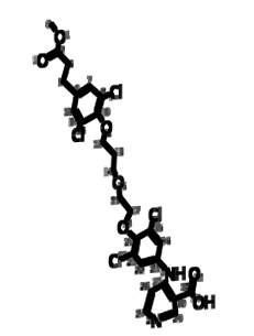 COC(=O)CCc1cc(Cl)c(OCCCOCCOc2c(Cl)cc(Nc3ccncc3C(=O)O)cc2Cl)c(Cl)c1